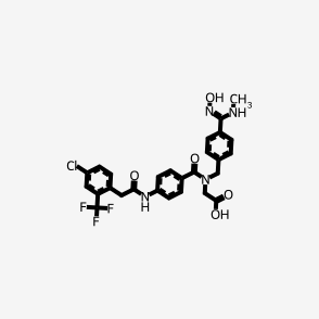 CN/C(=N\O)c1ccc(CN(CC(=O)O)C(=O)c2ccc(NC(=O)Cc3ccc(Cl)cc3C(F)(F)F)cc2)cc1